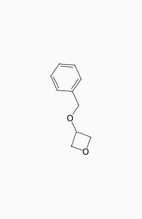 c1ccc(COC2COC2)cc1